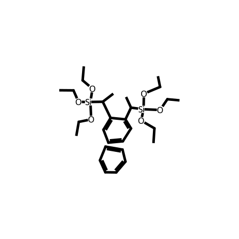 CCO[Si](OCC)(OCC)C(C)c1ccccc1C(C)[Si](OCC)(OCC)OCC.c1ccccc1